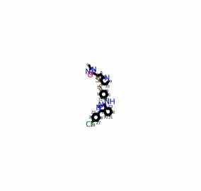 Cc1noc(-c2cc3nccc(Sc4ccc(Nc5nnc(-c6ccc(Cl)cc6)c6ccccc56)cc4)c3s2)n1